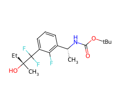 CC[C@@](C)(O)C(F)(F)c1cccc([C@@H](C)NC(=O)OC(C)(C)C)c1F